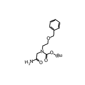 CC(C)(C)OC(=O)N(CCOCc1ccccc1)CC(N)=O